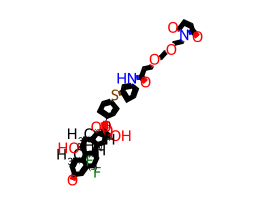 C[C@]12C=CC(=O)C=C1[C@@H](F)C[C@H]1[C@@H]3C[C@H]4O[C@@H](c5ccc(Sc6cccc(NC(=O)CCOCCOCCN7C(=O)C=CC7=O)c6)cc5)O[C@@]4(C(=O)CO)[C@@]3(C)C[C@H](O)[C@@]12F